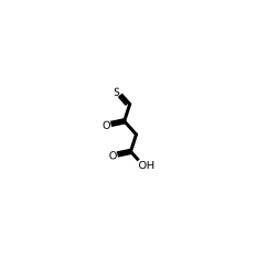 O=C(O)CC(=O)C=S